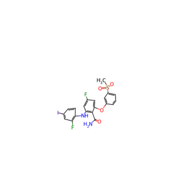 CS(=O)(=O)c1cccc(Oc2cc(F)cc(Nc3ccc(I)cc3F)c2C(N)=O)c1